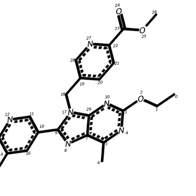 CCOc1nc(C)c2nc(-c3cncc(F)c3)n(Cc3ccc(C(=O)OC)nc3)c2n1